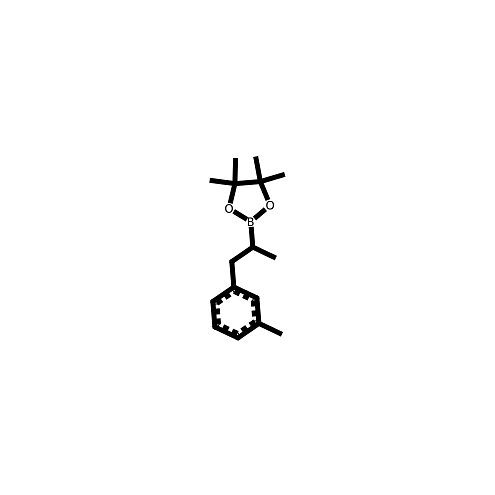 Cc1cccc(CC(C)B2OC(C)(C)C(C)(C)O2)c1